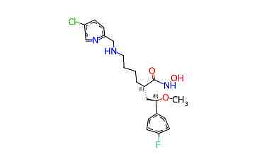 CO[C@H](C[C@H](CCCCNCc1ccc(Cl)cn1)C(=O)NO)c1ccc(F)cc1